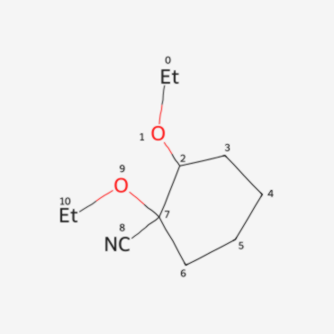 CCOC1CCCCC1(C#N)OCC